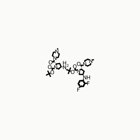 CN1CCN(C(=O)[C@@H]2C[C@H](N)CN2C(=O)OC(C)(C)C)CC1.CN1CCN(C(=O)[C@@H]2C[C@H](Nc3ccc(F)cc3F)CN2C(=O)OC(C)(C)C)CC1